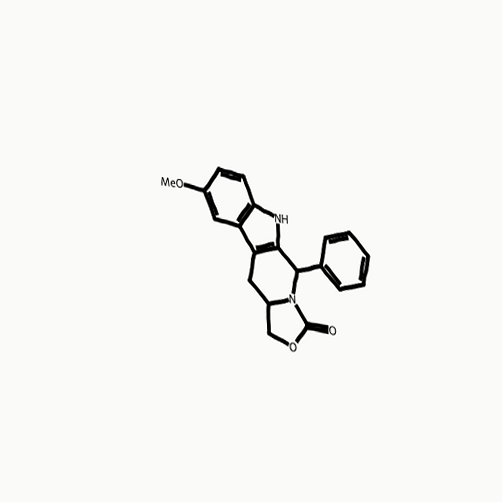 COc1ccc2[nH]c3c(c2c1)CC1COC(=O)N1C3c1ccccc1